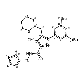 CC(C)(C)c1cc(-n2nc(C(=O)NCc3ccn[nH]3)c(Cl)c2CC2CCCCC2)cc(C(C)(C)C)c1